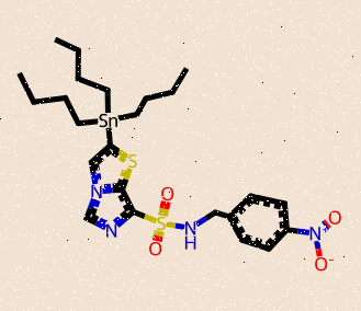 CCC[CH2][Sn]([CH2]CCC)([CH2]CCC)[c]1cn2cnc(S(=O)(=O)NCc3ccc([N+](=O)[O-])cc3)c2s1